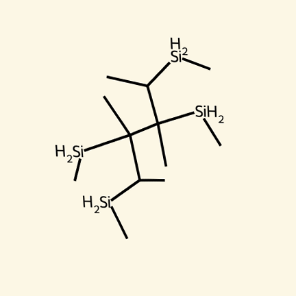 C[SiH2]C(C)C(C)([SiH2]C)C(C)([SiH2]C)C(C)[SiH2]C